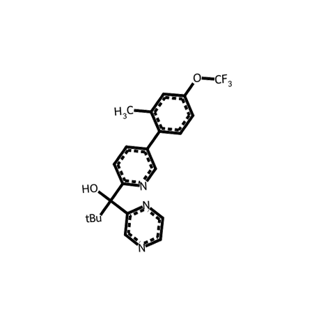 Cc1cc(OC(F)(F)F)ccc1-c1ccc(C(O)(c2cnccn2)C(C)(C)C)nc1